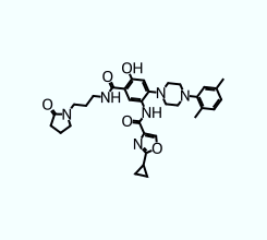 Cc1ccc(C)c(N2CCN(c3cc(O)c(C(=O)NCCCN4CCCC4=O)cc3NC(=O)c3coc(C4CC4)n3)CC2)c1